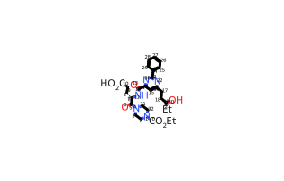 CCOC(=O)N1CCN(C(=O)[C@H](CCC(=O)O)NC(=O)c2cc(CCC(O)CC)nc(-c3ccccc3)n2)CC1